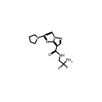 O=C(NCC(F)(F)P)c1cnn2ccc(N3CCCC3)nc12